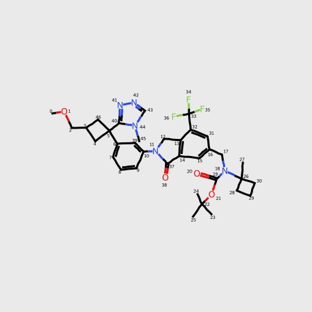 COCC1CC(c2cccc(N3Cc4c(cc(CN(C(=O)OC(C)(C)C)C5(C)CCC5)cc4C(F)(F)F)C3=O)c2)(c2nncn2C)C1